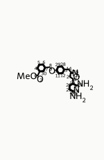 COC(=O)c1cccc(COc2ccc(CC3=NOC(c4ccc(N)nc4N)C3)cc2)c1